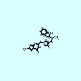 Cc1cc2c(=O)[nH]c(Cn3cc(CN(C)c4nc5ccccc5[nH]4)c(C(F)(F)F)n3)nc2s1